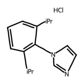 CC(C)c1cccc(C(C)C)c1-n1ccnc1.Cl